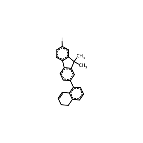 CC1(C)c2cc(I)ccc2-c2ccc(-c3cccc4c3C=CCC4)cc21